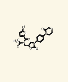 [CH2]C(=O)N(C[C@H]1CN(c2ccc(N3CCOCC3=O)cc2)C(=O)O1)C(=O)c1ccc(Cl)s1